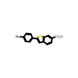 CC(C)(C)c1ccc(-c2cc3ccc(C(=O)O)cc3s2)cc1